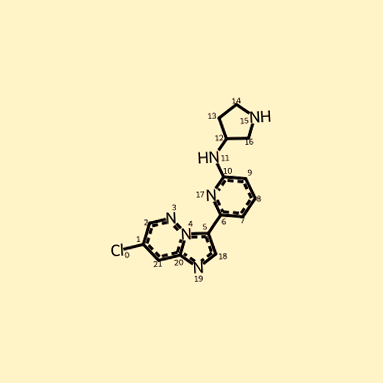 Clc1cnn2c(-c3cccc(NC4CCNC4)n3)cnc2c1